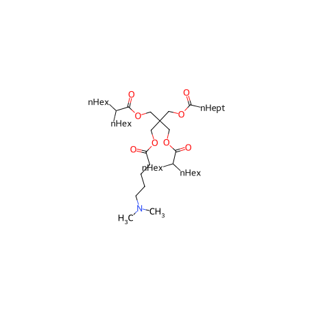 CCCCCCCC(=O)OCC(COC(=O)CCCCN(C)C)(COC(=O)C(CCCCCC)CCCCCC)COC(=O)C(CCCCCC)CCCCCC